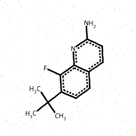 CC(C)(C)c1ccc2ccc(N)nc2c1F